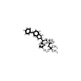 CC(C)(C)CC(=O)[Si](C)(C)OC(c1ncco1)C1Cc2ccc(-c3ccccc3)cc2C1